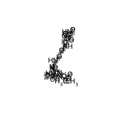 CC1(C)OC(=O)c2ccc(Nc3ncc(-c4nnc(CCNCCOCCOCCNc5ccc6c(c5)C(=O)N(C5CCC(=O)NC5=O)C6=O)o4)c(N[C@H](CO)c4ccccc4)n3)cc21